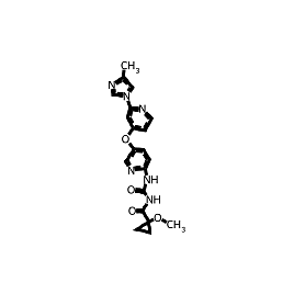 COC1(C(=O)NC(=O)Nc2ccc(Oc3ccnc(-n4cnc(C)c4)c3)cn2)CC1